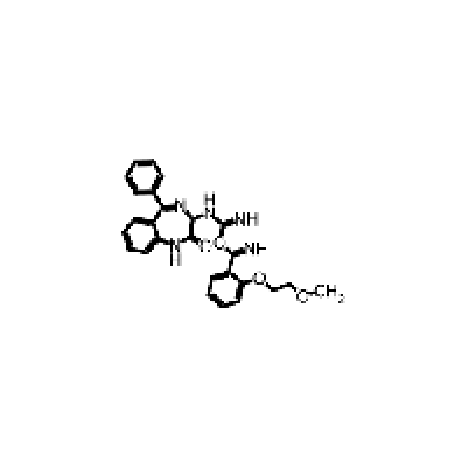 COCCOc1ccccc1C(=N)OC(=N)NC1N=C(c2ccccc2)c2ccccc2NC1=O